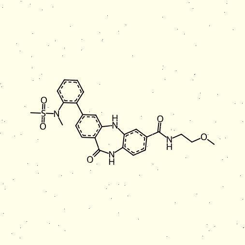 COCCNC(=O)c1ccc2c(c1)Nc1cc(-c3ccccc3N(C)S(C)(=O)=O)ccc1C(=O)N2